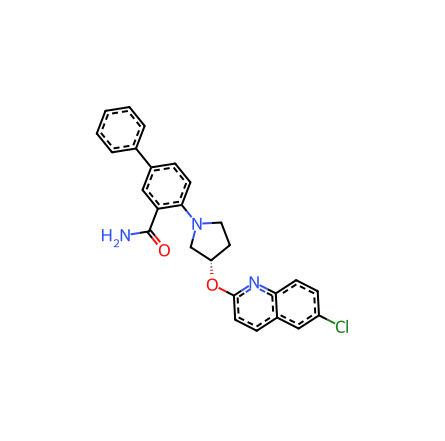 NC(=O)c1cc(-c2ccccc2)ccc1N1CC[C@H](Oc2ccc3cc(Cl)ccc3n2)C1